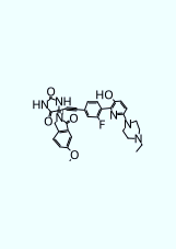 CCN1CCN(c2ccc(O)c(-c3ccc(C#C[C@]4(N5Cc6ccc(OC)cc6C5=O)NC(=O)NC4=O)cc3F)n2)CC1